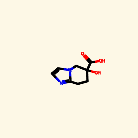 O=C(O)C1(O)CCc2nccn2C1